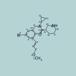 COC/C=C/c1cc(Br)cc(CN(C(=O)[C@@H]2CCCNC2)C2CC2)c1